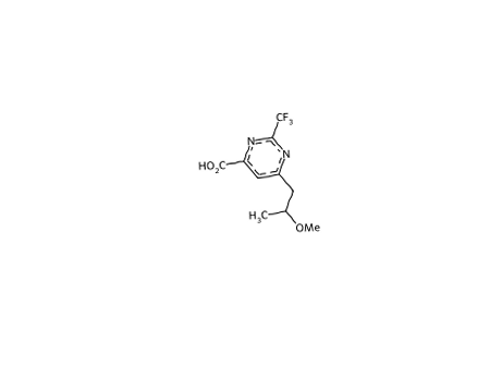 COC(C)Cc1cc(C(=O)O)nc(C(F)(F)F)n1